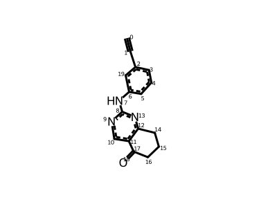 C#Cc1cccc(Nc2ncc3c(n2)CCCC3=O)c1